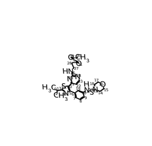 CC(C)c1nc(-c2cccc(NSN3CCOCC3)c2)c(-c2ccnc(NCCS(C)(=O)=O)n2)s1